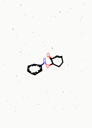 O=C1CCCCC1ONc1ccccc1